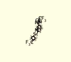 FC(F)(F)c1ccc(SCc2cn3ccc(-c4noc(C(F)(F)F)n4)cc3n2)cc1